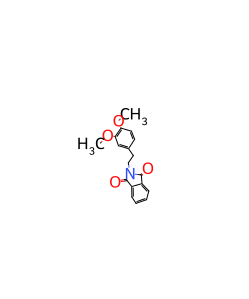 COc1ccc(CCN2C(=O)c3ccccc3C2=O)cc1OC